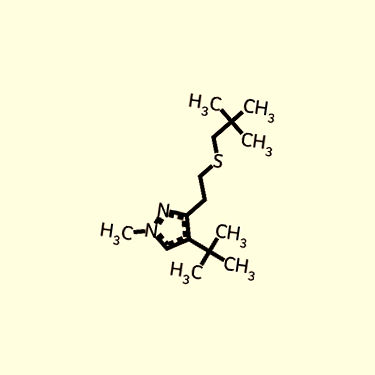 Cn1cc(C(C)(C)C)c(CCSCC(C)(C)C)n1